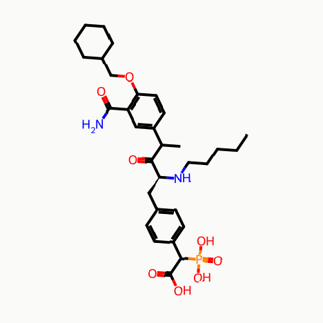 CCCCCN[C@@H](Cc1ccc(C(C(=O)O)P(=O)(O)O)cc1)C(=O)C(C)c1ccc(OCC2CCCCC2)c(C(N)=O)c1